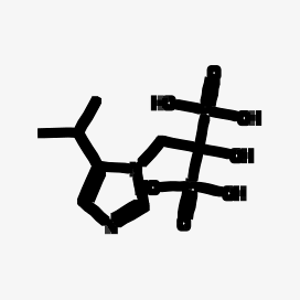 CC(C)c1cncn1CC(O)(P(=O)(O)O)P(=O)(O)O